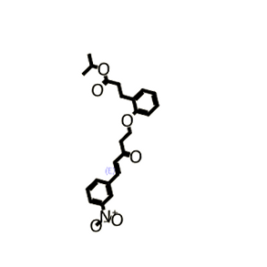 CC(C)OC(=O)CCc1ccccc1OCCC(=O)/C=C/c1cccc([N+](=O)[O-])c1